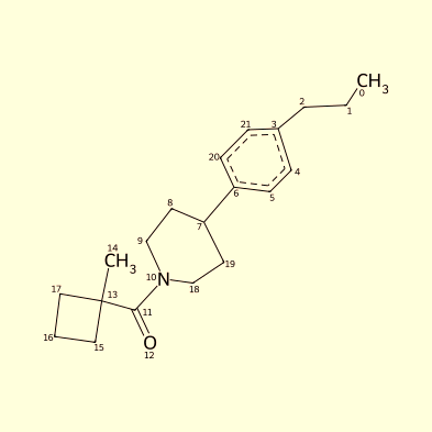 CCCc1ccc(C2CCN(C(=O)C3(C)CCC3)CC2)cc1